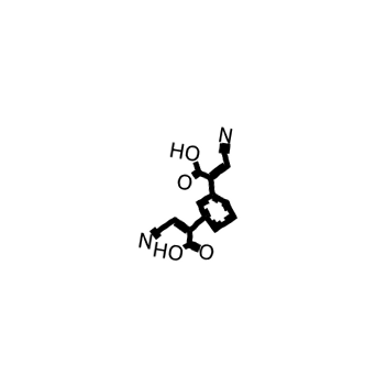 N#CC=C(C(=O)O)c1cccc(C(=CC#N)C(=O)O)c1